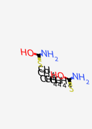 C.C.C.C.C.C.NC(O)=S.NC(O)=S